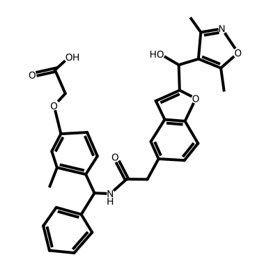 Cc1cc(OCC(=O)O)ccc1C(NC(=O)Cc1ccc2oc(C(O)c3c(C)noc3C)cc2c1)c1ccccc1